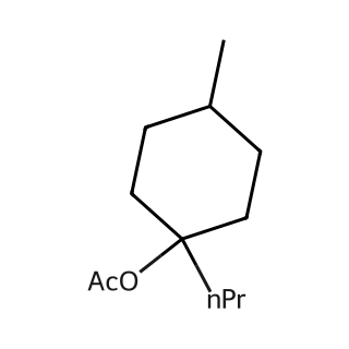 CCCC1(OC(C)=O)CCC(C)CC1